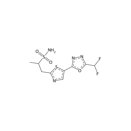 CC(Cc1ncc(-c2nnc(C(F)F)o2)s1)S(N)(=O)=O